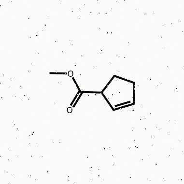 COC(=O)C1C=CCC1